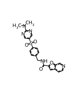 CN(C)c1ncc(S(=O)(=O)c2ccc(CNC(=O)c3cc4ccncc4o3)cc2)cn1